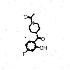 CC(=O)N1CCC(C(=O)c2ccc(F)cc2O)CC1